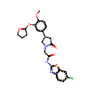 COc1ccc(C2CC(=O)N(CC(=O)Nc3nc4ccc(Cl)cc4s3)C2)cc1OC1CCCO1